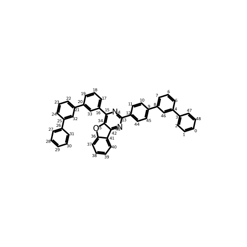 c1ccc(-c2cccc(-c3ccc(-c4nc(-c5cccc(-c6cccc(-c7ccccc7)c6)c5)c5oc6ccccc6c5n4)cc3)c2)cc1